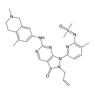 C=CCn1c(=O)c2cnc(Nc3cc(C)c4c(c3)CN(C)CC4)nc2n1-c1ccc(C)c(N=S(C)(C)=O)n1